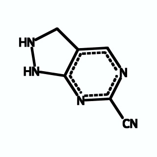 N#Cc1ncc2c(n1)NNC2